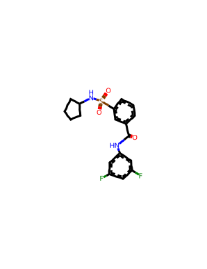 O=C(Nc1cc(F)cc(F)c1)c1cccc(S(=O)(=O)NC2CCCC2)c1